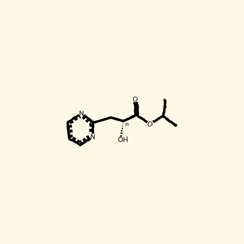 CC(C)OC(=O)[C@H](O)Cc1ncccn1